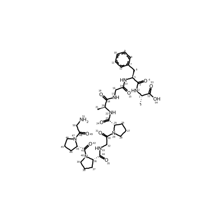 C[C@H](NC(=O)[C@H](Cc1ccccc1)NC(=O)CNC(=O)[C@H](C)NC(=O)[C@@H]1CCCN1C(=O)CNC(=O)[C@@H]1CCCN1C(=O)[C@@H]1CCCN1C(=O)CN)C(=O)O